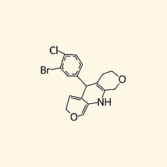 Clc1ccc(C2C3=CCOC=C3NC3=C2CCOC3)cc1Br